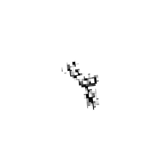 O=C(O)N1CCC(Nc2nnc(-c3ccc(C(F)(F)F)cn3)c3cccnc23)C1